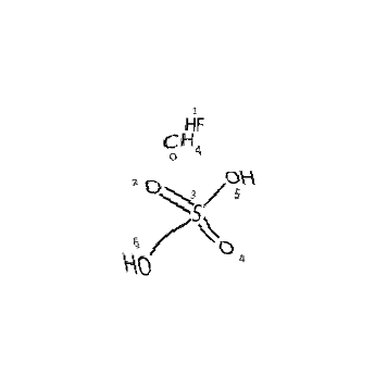 C.F.O=S(=O)(O)O